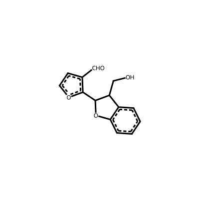 O=Cc1ccoc1C1Oc2ccccc2C1CO